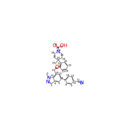 Cn1ncc2cc(-c3ccc(C#N)cc3)cc(COCC3(c4ccccc4)CCN(C(=O)O)CC3)c21